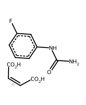 NC(=O)Nc1cccc(F)c1.O=C(O)/C=C\C(=O)O